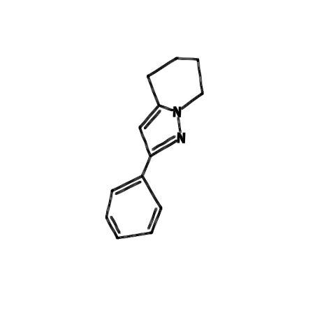 c1ccc(-c2cc3n(n2)CCCC3)cc1